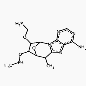 CPOC1C2OC(C1OCP)n1c(nc3c(N)ncnc31)C2C